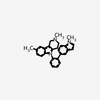 Cc1ccc2c(c1)c1c(n2-c2ccccc2-c2ccc3c(ccn3C)c2)CCN(C)C1